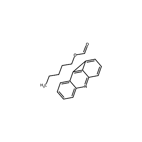 CCCCCOC=O.c1ccc2c3c4c-3cccc4nc2c1